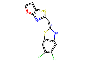 Clc1cc2c(cc1Cl)S/C(=C\c1nc3occc3s1)N2